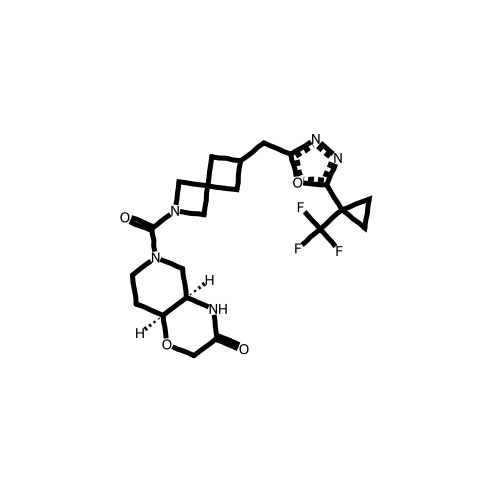 O=C1CO[C@H]2CCN(C(=O)N3CC4(CC(Cc5nnc(C6(C(F)(F)F)CC6)o5)C4)C3)C[C@H]2N1